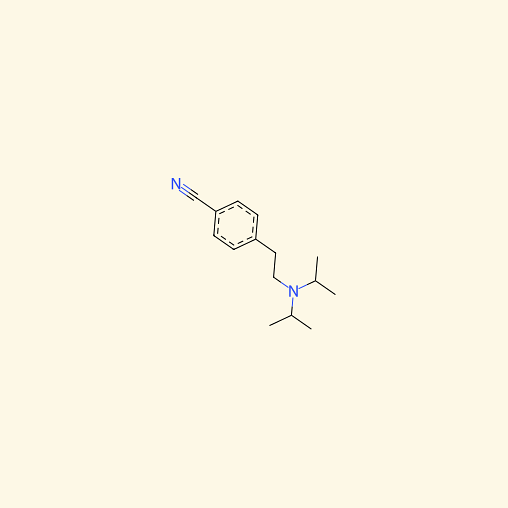 CC(C)N(CCc1ccc(C#N)cc1)C(C)C